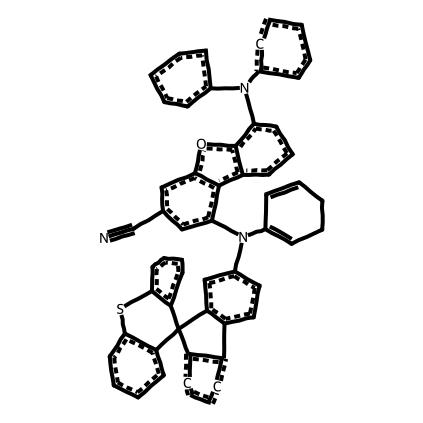 N#Cc1cc(N(C2=CCCC=C2)c2ccc3c(c2)C2(c4ccccc4Sc4ccccc42)c2ccccc2-3)c2c(c1)oc1c(N(c3ccccc3)c3ccccc3)cccc12